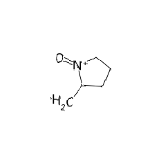 [CH2]C1CCC[N+]1=O